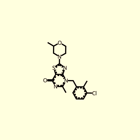 Cc1c(Cl)cccc1Cn1c(C)nc(=O)c2sc(N3CCOC(C)C3)nc21